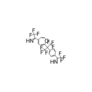 N=C(C1=CC=C(C(c2ccc(C(=N)C(F)(F)F)cc2)(C(F)(F)F)C(F)(F)F)OC=C1)C(F)(F)F